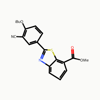 COC(=O)c1cccc2nc(-c3ccc(OCC(C)C)c(C#N)c3)sc12